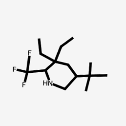 CCC1(CC)CC(C(C)(C)C)CNC1C(F)(F)F